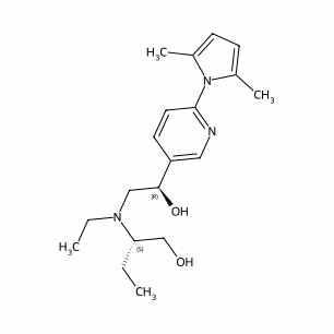 CC[C@@H](CO)N(CC)C[C@H](O)c1ccc(-n2c(C)ccc2C)nc1